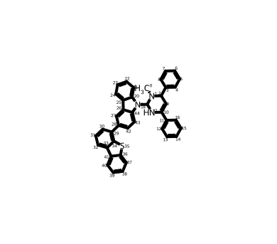 CN1C(c2ccccc2)C=C(c2ccccc2)NC1n1c2ccccc2c2cc(-c3cccc4c3sc3ccccc34)ccc21